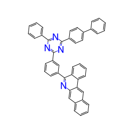 c1ccc(-c2ccc(-c3nc(-c4ccccc4)nc(-c4cccc(-c5nc6cc7ccccc7cc6c6ccccc56)c4)n3)cc2)cc1